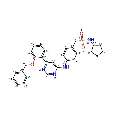 O=S(=O)(Cc1ccc(Nc2cc(-c3ccccc3OCc3ccccc3)ncn2)cc1)NC1CCCC1